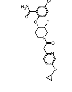 NC(=O)c1cc(Br)ccc1O[C@H]1CCN(C(=O)Cc2ccc(OC3CC3)cn2)C[C@@H]1F